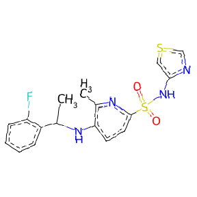 Cc1nc(S(=O)(=O)Nc2cscn2)ccc1NC(C)c1ccccc1F